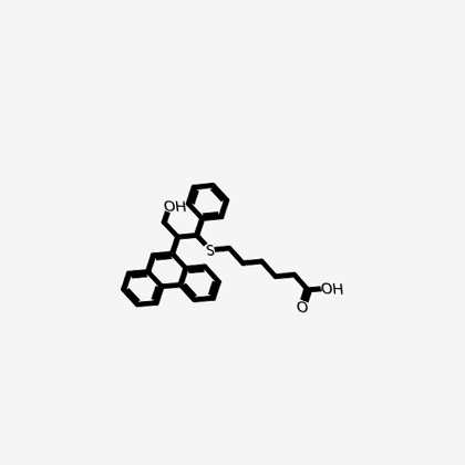 O=C(O)CCCCCSC(c1ccccc1)C(CO)c1cc2ccccc2c2ccccc12